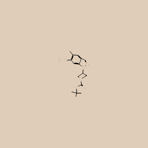 Cc1cc2cnn(C3CN(C(=O)OC(C)(C)C)C3)c2cc1N